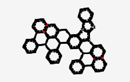 c1ccc(-c2ccccc2B2c3ccccc3-n3c4c2cc2c(c4n4c5ccccc5nc34)Cc3cccc4c3C2c2ccccc2C4c2ccccc2-c2ccccc2)cc1